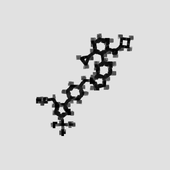 CCn1cc(C(F)(F)F)nc1-c1ccc(Cn2ncc3cnc(-c4c(OC5CCC5)ncnc4C4CC4)nc32)cc1